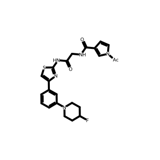 CC(=O)n1ccc(C(=O)NCC(=O)Nc2nc(-c3cccc(N4CCC(F)CC4)c3)cs2)c1